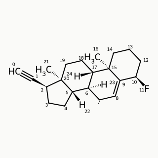 C#C[C@@H]1CC[C@H]2[C@@H]3CC=C4[C@H](F)CCC[C@]4(C)[C@H]3CC[C@]12C